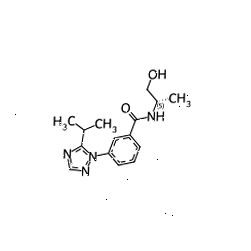 CC(C)c1ncnn1-c1cccc(C(=O)N[C@@H](C)CO)c1